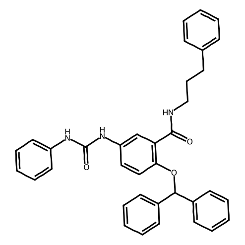 O=C(Nc1ccccc1)Nc1ccc(OC(c2ccccc2)c2ccccc2)c(C(=O)NCCCc2ccccc2)c1